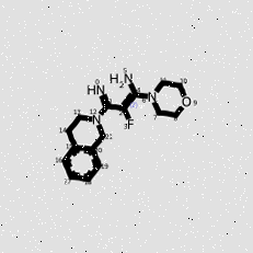 N=C(/C(F)=C(\N)N1CCOCC1)N1CCc2ccccc2C1